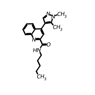 CCCCCNC(=O)c1cc(-c2cnn(C)c2C)c2ccccc2n1